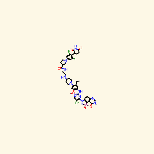 CCc1cc(Nc2ncc(Br)c(Nc3ccc4ncn(C)c(=O)c4c3P(C)(C)=O)n2)c(OC)cc1N1CCC(NCCNC(=O)C2CCN(c3cc(F)c(C4CCC(=O)NC4=O)c(F)c3)C2)CC1